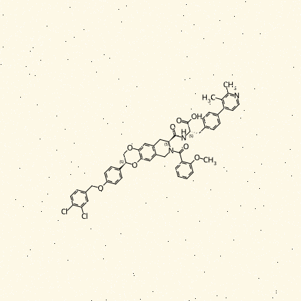 COc1ccccc1C(=O)N1Cc2cc3c(cc2C[C@H]1C(=O)N[C@@H](Cc1ccc(-c2ccnc(C)c2C)cc1)C(=O)O)OC[C@H](c1ccc(OCc2ccc(Cl)c(Cl)c2)cc1)O3